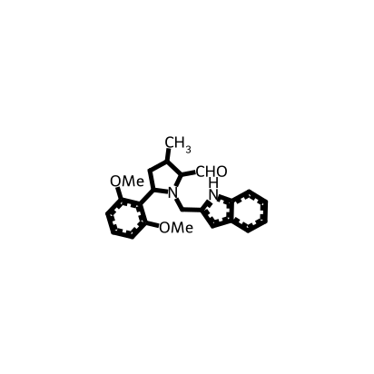 COc1cccc(OC)c1C1CC(C)C(C=O)N1Cc1cc2ccccc2[nH]1